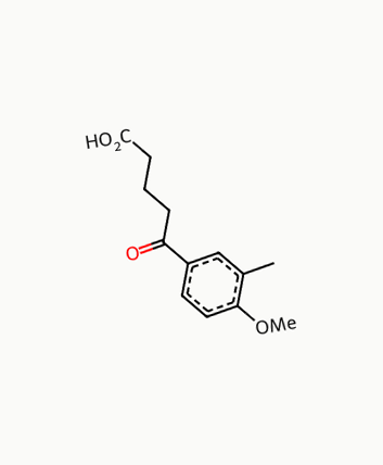 COc1ccc(C(=O)CCCC(=O)O)cc1C